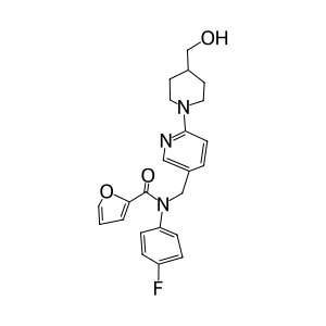 O=C(c1ccco1)N(Cc1ccc(N2CCC(CO)CC2)nc1)c1ccc(F)cc1